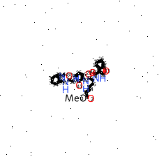 COC(=O)/C=C/CC[C@H](NC(=O)c1coc2ccccc12)C(=O)Nc1cccn(CC(=O)NC2C3CCCC(C3)CN2C)c1=O